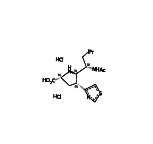 CC(=O)N[C@@H](CC(C)C)[C@@H]1N[C@@H](C(=O)O)C[C@H]1c1cscn1.Cl.Cl